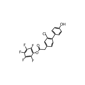 O=C(Cc1ccc(-c2ccc(O)cc2)c(Cl)c1)Oc1c(F)c(F)c(F)c(F)c1F